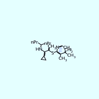 C=C(SC(/N=C\C)=C(\C)C(=C)C)C(NC(CCC)CCC)=C1CC1